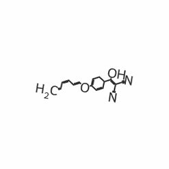 C=C/C=C\C=C\OC1=CCC(C(O)=C(C#N)C#N)C=C1